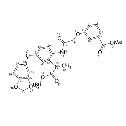 COC(=O)c1cccc(OCC(=O)Nc2ccc(Oc3ccc4c(c3)OCO4)cc2N(C)C(=O)OC(C)(C)C)c1